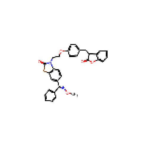 CON=C(c1ccccc1)c1ccc2c(c1)sc(=O)n2CCOc1ccc(CC2C(=O)Oc3ccccc32)cc1